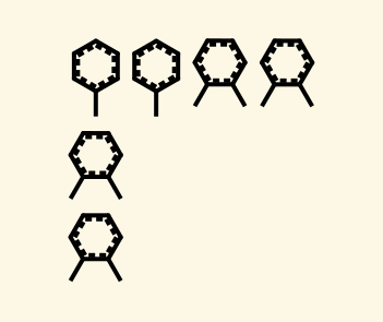 Cc1ccccc1.Cc1ccccc1.Cc1ccccc1C.Cc1ccccc1C.Cc1ccccc1C.Cc1ccccc1C